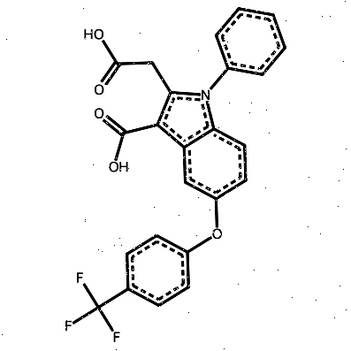 O=C(O)Cc1c(C(=O)O)c2cc(Oc3ccc(C(F)(F)F)cc3)ccc2n1-c1ccccc1